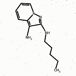 CCCCCNc1nn2ccccc2c1N